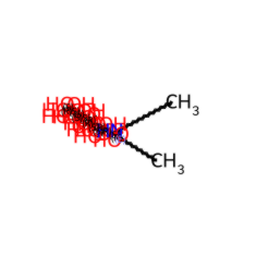 CCCCCCCCCCCCC/C=C/[C@@H](O)[C@H](CO[C@@H]1OC(CO)[C@@H](O[C@@H]2OC(CO)[C@H](O[C@@H]3OC(CO)[C@H](O)[C@H](O[C@@H]4OC(CO)[C@H](O)[C@H](O)C4O)C3O)[C@H](O)C2O)[C@H](O)C1O)NC(=O)CCCCCCCCCCCCCCCCCCC